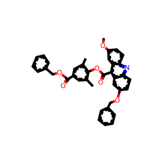 COc1ccc2nc3ccc(OCc4ccccc4)cc3c(C(=O)Oc3c(C)cc(C(=O)OCc4ccccc4)cc3C)c2c1